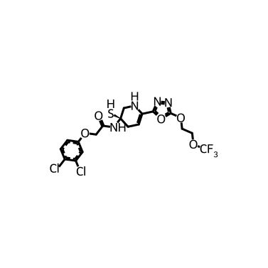 O=C(COc1ccc(Cl)c(Cl)c1)N[C@@]1(S)CC=C(c2nnc(OCCOC(F)(F)F)o2)NC1